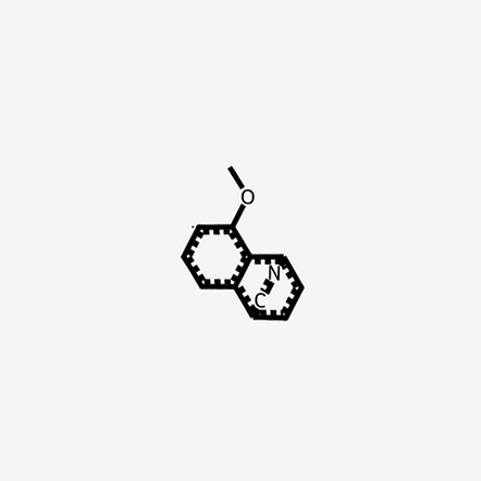 COc1[c]ccc2c3ccc(nc3)c12